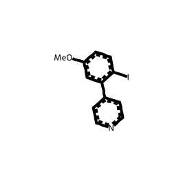 COc1ccc(I)c(-c2ccncc2)c1